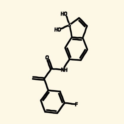 C=C(C(=O)Nc1ccc2c(c1)S(O)(O)C=C2)c1cccc(F)c1